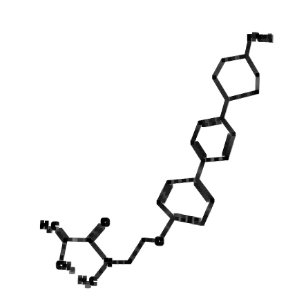 C=C(C)C(=O)N(C)CCOc1ccc(-c2ccc(C3CCC(CCCCC)CC3)cc2)cc1